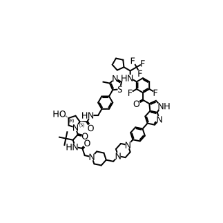 Cc1ncsc1-c1ccc(CNC(=O)[C@@H]2C[C@@H](O)CN2C(=O)C(NC(=O)CN2CCC(CN3CCN(c4ccc(-c5cnc6[nH]cc(C(=O)c7c(F)ccc(NC(C8CCCC8)C(F)(F)F)c7F)c6c5)cc4)CC3)CC2)C(C)(C)C)cc1